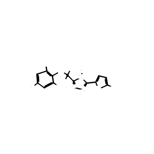 Cc1ccc(-c2nnc(C(C)(C)Oc3c(F)cc(F)cc3F)n2C)s1